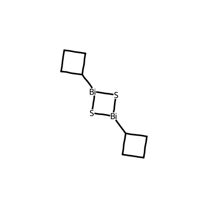 C1C[CH]([Bi]2[S][Bi]([CH]3CCC3)[S]2)C1